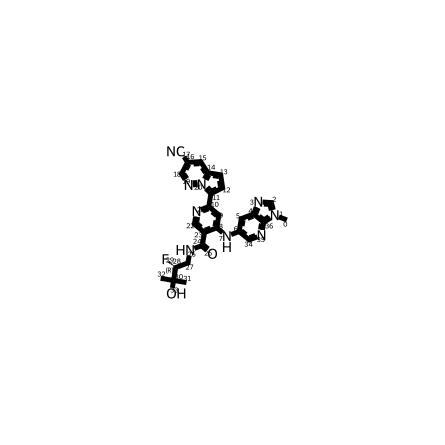 Cn1cnc2cc(Nc3cc(-c4ccc5cc(C#N)cnn45)ncc3C(=O)NC[C@@H](F)C(C)(C)O)cnc21